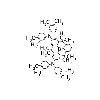 Cc1ccc(N(C2=CC3C4B5C6C(=CC(N(c7ccc(C)c(C)c7)c7ccc(C)c(C)c7)=CC6C(C)(C)C6C=CC=C(C56)C3(C)C)C(C)(C)C4=C2)c2ccc(C)c(C)c2)cc1C